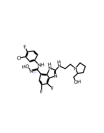 OCC1CCCN1CCNc1nc2c(F)c(F)cc(/C(=N/O)Nc3ccc(F)c(Cl)c3)c2[nH]1